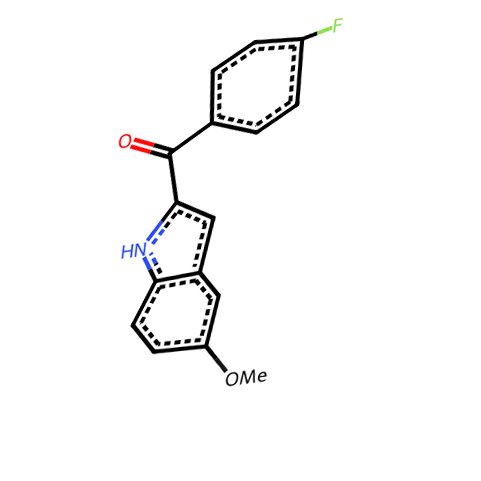 COc1ccc2[nH]c(C(=O)c3ccc(F)cc3)cc2c1